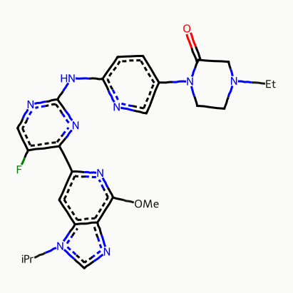 CCN1CCN(c2ccc(Nc3ncc(F)c(-c4cc5c(ncn5C(C)C)c(OC)n4)n3)nc2)C(=O)C1